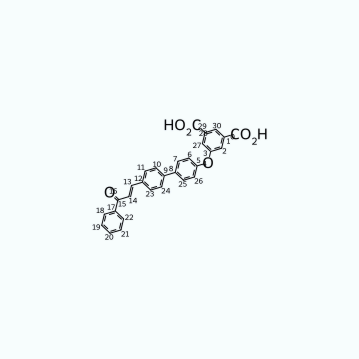 O=C(O)c1cc(Oc2ccc(-c3ccc(/C=C/C(=O)c4ccccc4)cc3)cc2)cc(C(=O)O)c1